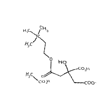 CC(=O)O.C[N+](C)(C)CCOC(=O)CC(O)(CC(=O)[O-])C(=O)O